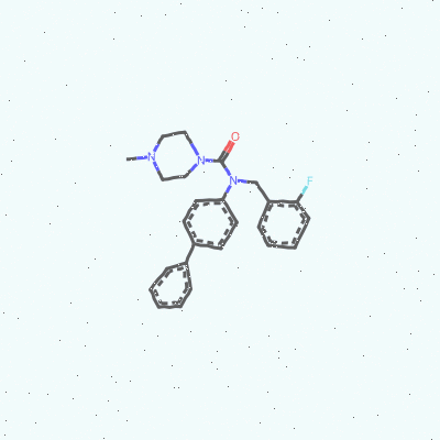 CN1CCN(C(=O)N(Cc2ccccc2F)c2ccc(-c3ccccc3)cc2)CC1